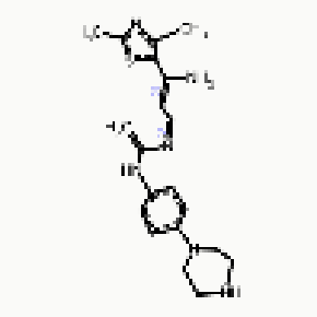 C=C(/N=C\C=C(/N)c1sc(C)nc1C)Nc1ccc(N2CCNCC2)cc1